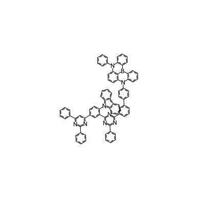 c1ccc(-c2cc(-c3ccc(-n4c5ccccc5c5ccccc54)c(-c4nc(-c5ccccc5)nc(-c5cccc(-c6ccc(N7c8ccccc8B8c9ccccc9N(c9ccccc9)c9cccc7c98)cc6)c5)n4)c3)nc(-c3ccccc3)n2)cc1